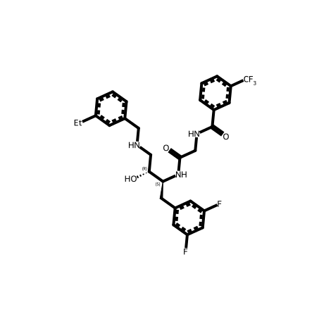 CCc1cccc(CNC[C@@H](O)[C@H](Cc2cc(F)cc(F)c2)NC(=O)CNC(=O)c2cccc(C(F)(F)F)c2)c1